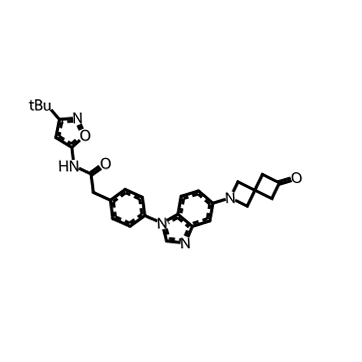 CC(C)(C)c1cc(NC(=O)Cc2ccc(-n3cnc4cc(N5CC6(CC(=O)C6)C5)ccc43)cc2)on1